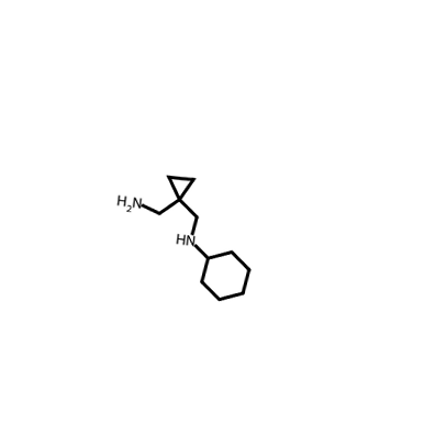 NCC1(CNC2CCCCC2)CC1